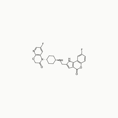 O=C1COc2ncc(F)cc2N1[C@H]1CC[C@H](NCc2cc3c(=O)oc4ccc(F)cc4c3[nH]2)CC1